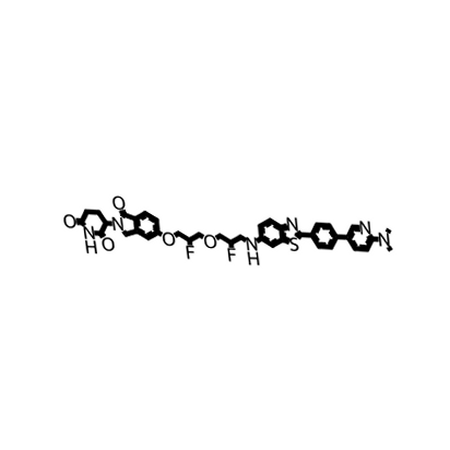 CN(C)c1ccc(-c2ccc(-c3nc4ccc(NCC(F)COCC(F)COc5ccc6c(c5)CN(C5CCC(=O)NC5=O)C6=O)cc4s3)cc2)cn1